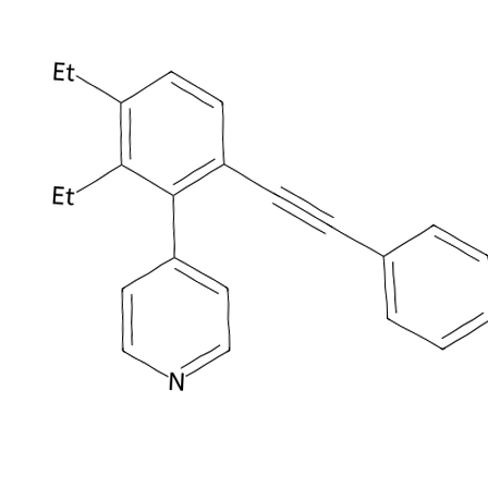 CCc1ccc(C#Cc2ccccc2)c(-c2ccncc2)c1CC